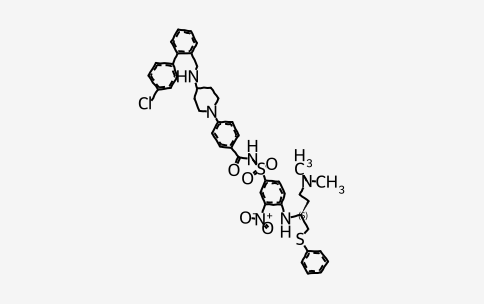 CN(C)CC[C@@H](CSc1ccccc1)Nc1ccc(S(=O)(=O)NC(=O)c2ccc(N3CCC(NCc4ccccc4-c4ccc(Cl)cc4)CC3)cc2)cc1[N+](=O)[O-]